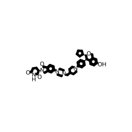 O=C1CC[C@H](N2Cc3cc(N4CCN(CC5CCN(c6ccc([C@@H]7c8ccc(O)cc8CO[C@@H]7C7CCCC7)cc6)CC5)CC4)ccc3C2=O)C(=O)N1